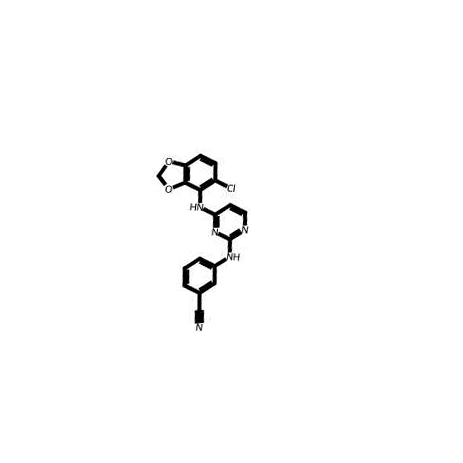 N#Cc1cccc(Nc2nccc(Nc3c(Cl)ccc4c3OCO4)n2)c1